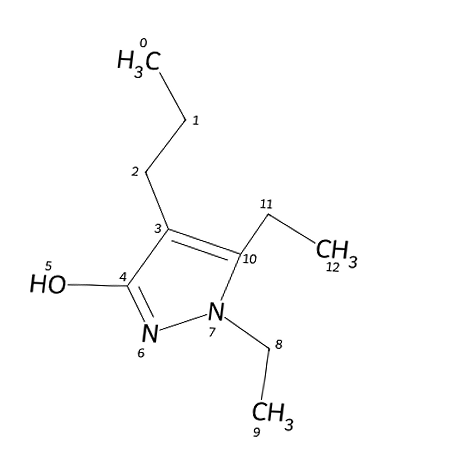 CCCc1c(O)nn(CC)c1CC